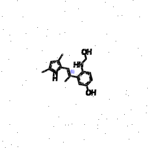 C/C(=C\c1[nH]c(C)cc1C)c1cc(O)ccc1NCO